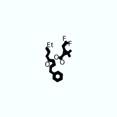 CCC=CCc1oc(Cc2ccccc2)cc1OC(=O)C1C(C=C(F)F)C1(C)C